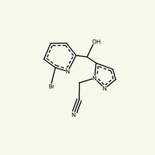 N#CCn1nccc1C(O)c1cccc(Br)n1